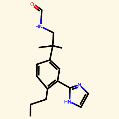 CCCc1ccc(C(C)(C)CNC=O)cc1-c1ncc[nH]1